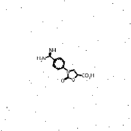 N=C(N)c1ccc(N2CC(C(=O)O)OC2=O)cc1